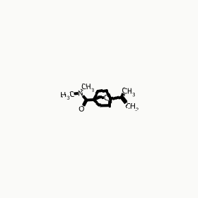 C=C(C)C12CCC(C(=O)N(C)C)(CC1)CC2